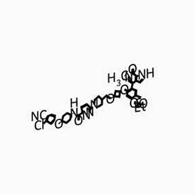 CCS(=O)(=O)Cc1ccc(O[C@H]2C[C@H](OCC3CCN(c4ccc(C(=O)N[C@H]5CC[C@H](Oc6ccc(C#N)c(Cl)c6)CC5)nn4)CC3)C2)c(-c2cn(C)c(=O)c3[nH]ccc23)c1